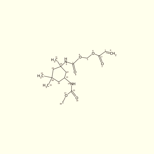 C=CC(=O)OCOC(=O)NC1(C)CC(NC(=O)OI)CC(C)(C)C1